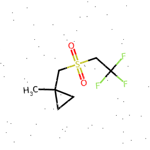 CC1(CS(=O)(=O)CC(F)(F)F)CC1